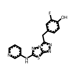 Oc1ccc(Cc2nnc3sc(Nc4cccnc4)nn23)cc1F